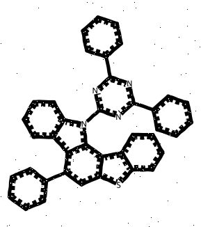 c1ccc(-c2nc(-c3ccccc3)nc(-n3c4ccccc4c4c(-c5ccccc5)cc5sc6ccccc6c5c43)n2)cc1